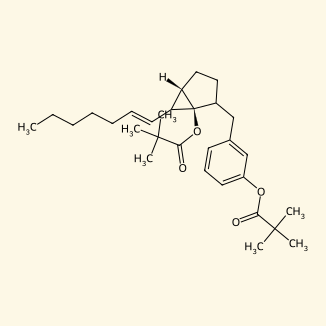 CCCCCC=CC1[C@@H]2CCC(Cc3cccc(OC(=O)C(C)(C)C)c3)[C@]12OC(=O)C(C)(C)C